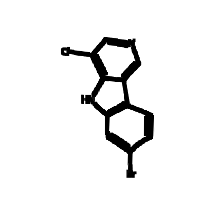 Clc1cncc2c1[nH]c1cc(Br)ccc12